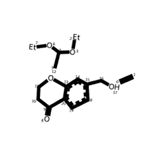 C=C.CCOC(C)OCC.O=C1CCOc2cc(CO)ccc21